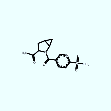 CS(=O)(=O)c1ccc(C(=O)N2C(C(N)=O)CC3CC32)cn1